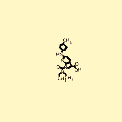 CCN(CC)C(=O)n1cc(C(=O)O)c2ccc(Nc3ccc(C)cc3)nc21